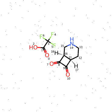 O=C(O)C(F)(F)F.O=C1C(=O)[C@@H]2CCNC[C@H]12